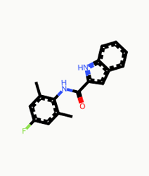 Cc1cc(F)cc(C)c1NC(=O)c1cc2ccccc2[nH]1